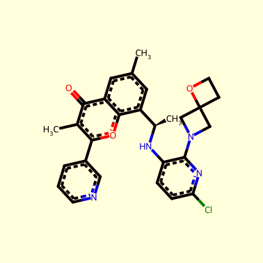 Cc1cc([C@@H](C)Nc2ccc(Cl)nc2N2CC3(CCO3)C2)c2oc(-c3cccnc3)c(C)c(=O)c2c1